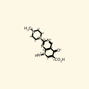 CCCn1cc(C(=O)O)c(=O)c2cnc(N3CCN(C)CC3)nc21